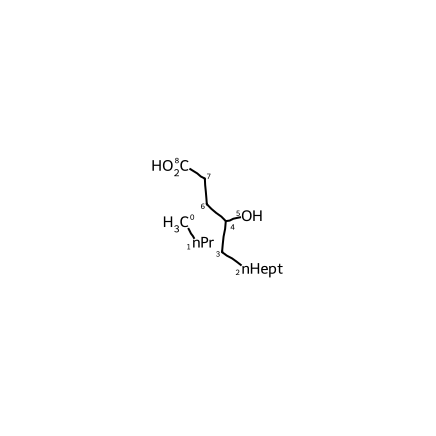 CCCC.CCCCCCCCC(O)CCC(=O)O